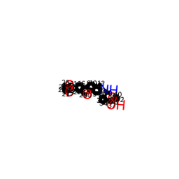 C=C(Nc1ccc2c3c(ccc2c1C)-c1ccc(B2OC(C)(C)C(C)(C)O2)cc1CO3)[C@@H]1CCCC1C(O)OC(C)(C)C